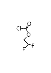 O=C(Cl)OCC(F)F